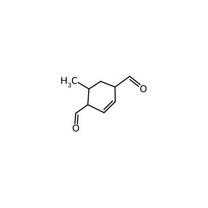 CC1CC(C=O)C=CC1C=O